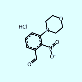 Cl.O=Cc1cccc(N2CCOCC2)c1[N+](=O)[O-]